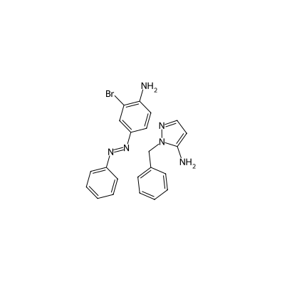 Nc1ccc(/N=N/c2ccccc2)cc1Br.Nc1ccnn1Cc1ccccc1